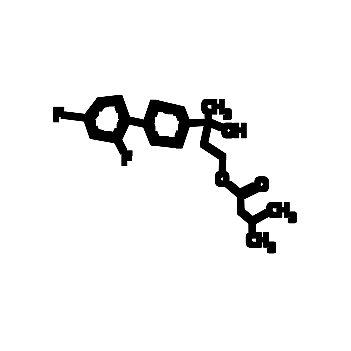 CC(C)CC(=O)OCCC(C)(O)c1ccc(-c2ccc(F)cc2F)cc1